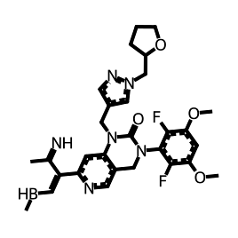 CB/C=C(\C(C)=N)c1cc2c(cn1)CN(c1c(F)c(OC)cc(OC)c1F)C(=O)N2Cc1cnn(CC2CCCO2)c1